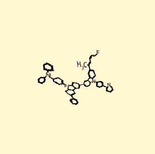 C/C(=C\C=C/CF)c1ccc2c(c1)C1=CC(C3=CC4C5C=C(c6ccccc6)CCC5N(C5=CCC(N(c6ccccc6)c6ccccc6)C=C5)C4CC3)=CCC1N2c1ccc(-c2ccccn2)cc1